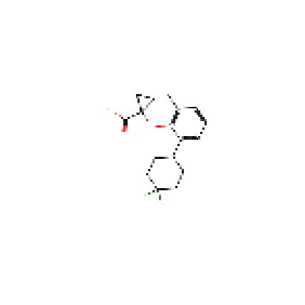 Cc1cccc(C2CCC(F)(F)CC2)c1OC1(C(=O)O)CC1